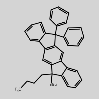 CCCCC1(CCCC(F)(F)F)c2ccccc2-c2cc3c(cc21)-c1ccccc1C3(c1ccccc1)c1ccccc1